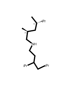 CC(C)CC(CCNC[C@@H](C)C[C@H](C)C(C)C)C(C)C